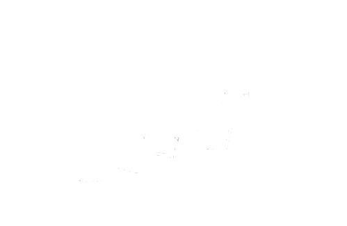 CCCCc1cn(-c2cccc(C(=O)O)c2)cn1